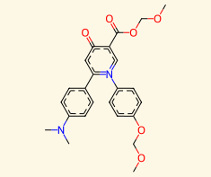 COCOC(=O)c1cn(-c2ccc(OCOC)cc2)c(-c2ccc(N(C)C)cc2)cc1=O